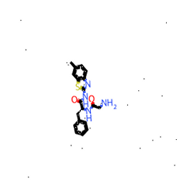 Cc1ccc2nc(NC(=O)[C@H](Cc3ccccc3)NC(=O)CN)sc2c1